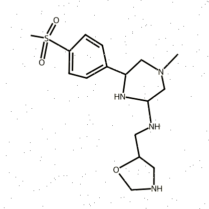 CN1CC(NCC2CNCO2)NC(c2ccc(S(C)(=O)=O)cc2)C1